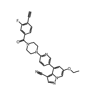 C#Cc1ccc(C(=O)N2CCN(c3ccc(-c4cc(OCC)cn5ncc(C#N)c45)cn3)CC2)cc1F